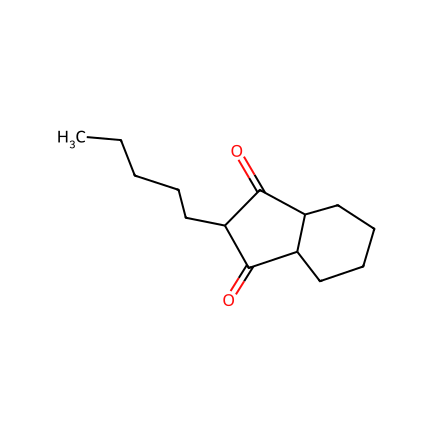 CCCCCC1C(=O)C2CCCCC2C1=O